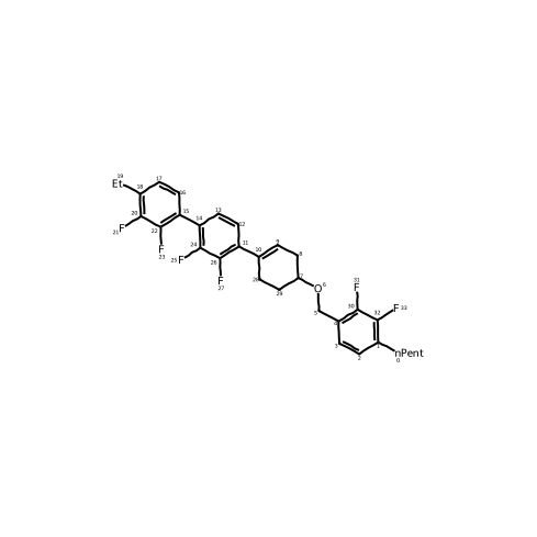 CCCCCc1ccc(COC2CC=C(c3ccc(-c4ccc(CC)c(F)c4F)c(F)c3F)CC2)c(F)c1F